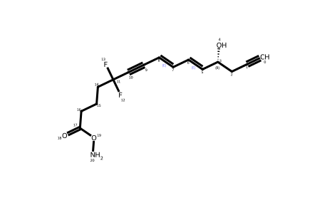 C#CC[C@@H](O)/C=C/C=C/C#CC(F)(F)CCCC(=O)ON